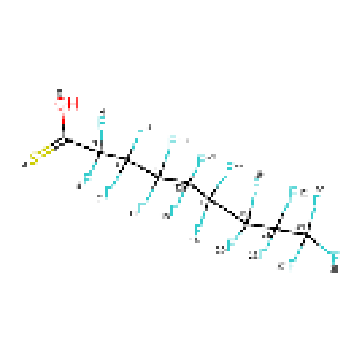 OC(=S)C(F)(F)C(F)(F)C(F)(F)C(F)(F)C(F)(F)C(F)(F)C(F)(F)C(F)(F)F